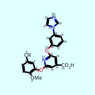 COc1ccc(C#N)cc1Oc1cc(C(=O)O)cc(Oc2cccc(-n3ccnc3)c2)n1